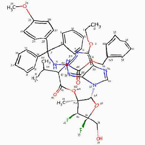 CCOc1nc(NC(c2ccccc2)(c2ccccc2)c2ccc(OC)cc2)nc2c1ncn2[C@@H]1O[C@](F)(CO)[C@@H](F)[C@@]1(C)OC(=O)C(NC(=O)OCc1ccccc1)C(C)C